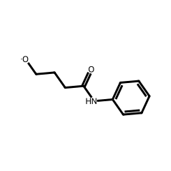 [O]CCCC(=O)Nc1ccccc1